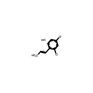 Cl.O=C(O)/C=C/c1ccc(Cl)cc1Cl